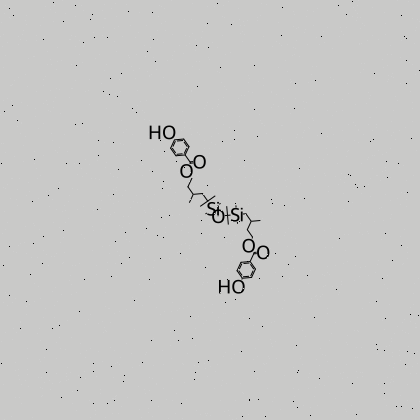 CC(CCOC(=O)c1ccc(O)cc1)CC(C)(C)[Si](C)(C)OC(C)(C)[Si](C)(C)CC(C)CCOC(=O)c1ccc(O)cc1